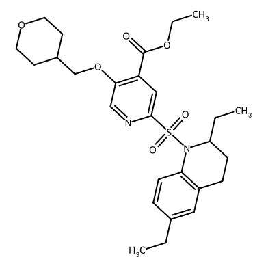 CCOC(=O)c1cc(S(=O)(=O)N2c3ccc(CC)cc3CCC2CC)ncc1OCC1CCOCC1